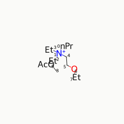 CCC[N+](CC)(CC)CCOCC.COC(C)=O